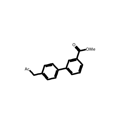 COC(=O)c1cccc(-c2ccc(CC(C)=O)cc2)c1